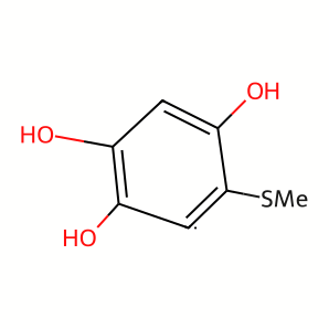 CSc1[c]c(O)c(O)cc1O